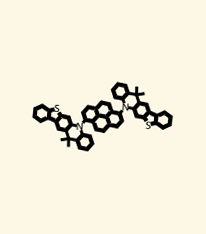 CC1(C)c2ccccc2N(c2ccc3ccc4c(N5c6ccccc6C(C)(C)c6cc7c(cc65)sc5ccccc57)ccc5ccc2c3c54)c2cc3sc4ccccc4c3cc21